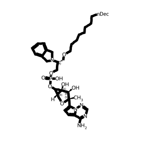 CCCCCCCCCCCCCCCCCCOC[C@H](COP(=O)(O)OC1[C@H]2O[C@@](C)(c3ccc4c(N)ncnn34)[C@H](O)[C@@]12O)N1Cc2ccccc2C1